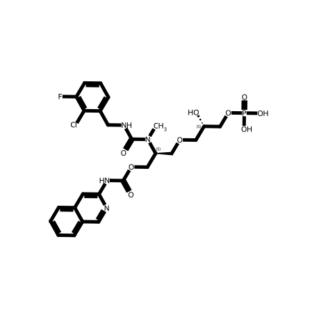 CN(C(=O)NCc1cccc(F)c1Cl)[C@@H](COC[C@H](O)COP(=O)(O)O)COC(=O)Nc1cc2ccccc2cn1